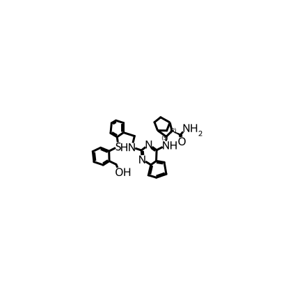 NC(=O)[C@@H]1C2CCC(C2)[C@@H]1Nc1nc(NCc2ccccc2Sc2ccccc2CO)nc2ccccc12